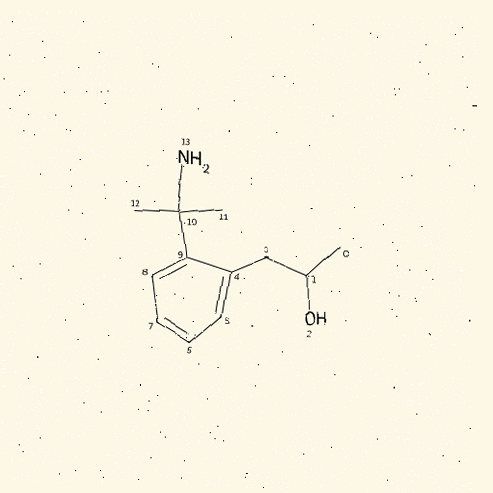 CC(O)Cc1ccccc1C(C)(C)N